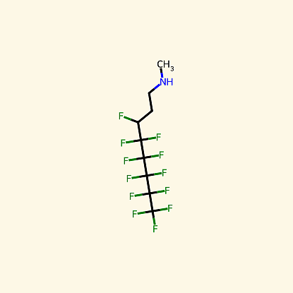 CNCCC(F)C(F)(F)C(F)(F)C(F)(F)C(F)(F)C(F)(F)F